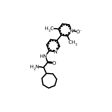 Cc1cc[n+]([O-])c(C)c1-c1ccc(NC(=O)C(N)C2CCCCCC2)nc1